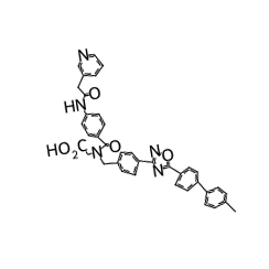 Cc1ccc(-c2ccc(-c3nc(-c4ccc(CN(CC(=O)O)C(=O)c5ccc(NC(=O)Cc6cccnc6)cc5)cc4)no3)cc2)cc1